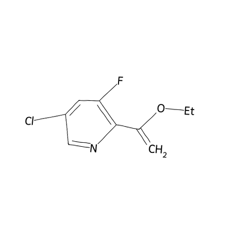 C=C(OCC)c1ncc(Cl)cc1F